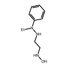 CCN(NCCNO)c1ccccc1